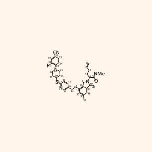 C=CCCC(C(=O)NC)N1Cc2c(CCc3ccc(SC4CCN(c5ccc(C#N)cc5F)CC4)nc3)cc(C)cc2C1=C